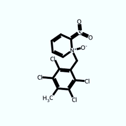 Cc1c(Cl)c(Cl)c(C[N+]2([O-])C=CC=CC2=S(=O)=O)c(Cl)c1Cl